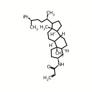 C=CC(=O)N[C@H]1CC[C@@]2(C)[C@@H](CC[C@@H]3[C@@H]2CC[C@]2(C)C([C@H](C)CC[C@@H](C)C(C)C)CC[C@@H]32)C1